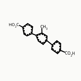 Cc1cc(-c2ccc(C(=O)O)cc2)ccc1-c1ccc(C(=O)O)cc1